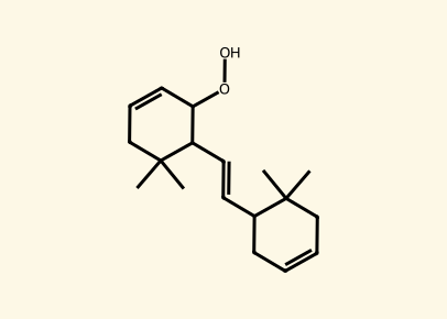 CC1(C)CC=CCC1C=CC1C(OO)C=CCC1(C)C